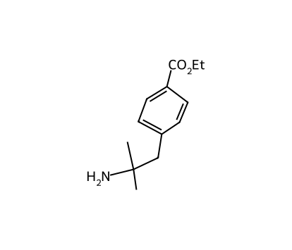 CCOC(=O)c1ccc(CC(C)(C)N)cc1